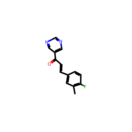 Cc1cc(/C=C/C(=O)c2cncnc2)ccc1F